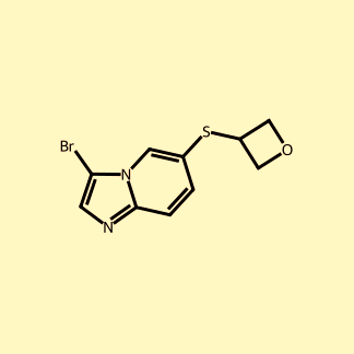 Brc1cnc2ccc(SC3COC3)cn12